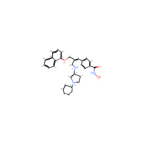 O=C(NO)c1ccc(/C=C(\CNC2CCN(C3CCCCC3)C2)COc2cccc3ccccc23)cc1